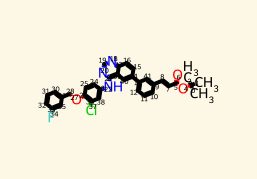 CC(C)(C)OC(=O)C=Cc1cccc(-c2ccc3ncnc(Nc4ccc(OCc5cccc(F)c5)c(Cl)c4)c3c2)c1